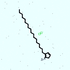 CCCCCCCCCCCCCCCCCCC1=[C]([Zr+2])CC=C1.[Cl-].[Cl-]